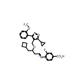 O=C(O)c1ccc(/N=C/CC(CC2CCC2)OCc2c(-c3ccccc3OC(F)(F)F)noc2C2CC2)c(F)c1